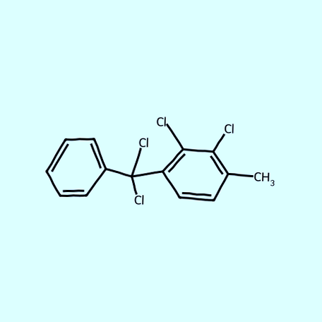 Cc1ccc(C(Cl)(Cl)c2ccccc2)c(Cl)c1Cl